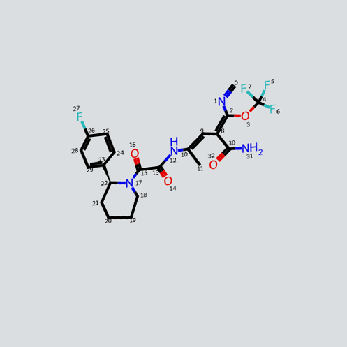 C=N/C(OC(F)(F)F)=C(\C=C(/C)NC(=O)C(=O)N1CCCC[C@H]1c1ccc(F)cc1)C(N)=O